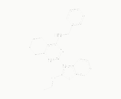 CCOc1cc2ccccc2n1-c1nc2c(c(NCc3ccccc3)n1)CCCC2